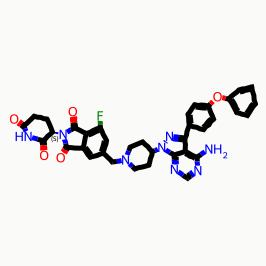 Nc1ncnc2c1c(-c1ccc(Oc3ccccc3)cc1)nn2C1CCN(Cc2cc(F)c3c(c2)C(=O)N([C@H]2CCC(=O)NC2=O)C3=O)CC1